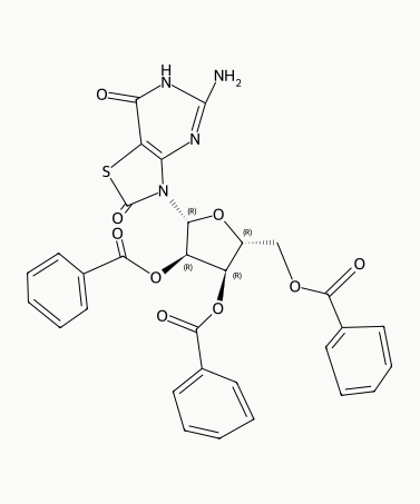 Nc1nc2c(sc(=O)n2[C@@H]2O[C@H](COC(=O)c3ccccc3)[C@@H](OC(=O)c3ccccc3)[C@H]2OC(=O)c2ccccc2)c(=O)[nH]1